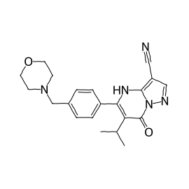 CC(C)c1c(-c2ccc(CN3CCOCC3)cc2)[nH]c2c(C#N)cnn2c1=O